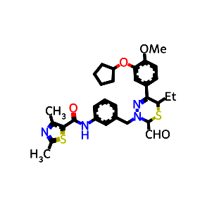 CCC1SC(C=O)N(Cc2cccc(NC(=O)c3sc(C)nc3C)c2)N=C1c1ccc(OC)c(OC2CCCC2)c1